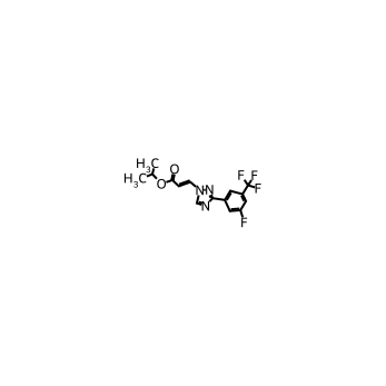 CC(C)OC(=O)/C=C/n1cnc(-c2cc(F)cc(C(F)(F)F)c2)n1